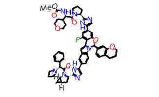 COC(=O)N[C@H](C(=O)N1CCC[C@H]1c1ncc(-c2cc(F)c3c(c2)OC(c2ccc4c(c2)OCCC4)n2c-3cc3cc(-c4cnc([C@@H]5C[C@H]6C[C@H]6N5C(=O)[C@@H](c5ccccc5)N5CCC5)[nH]4)ccc32)[nH]1)C1CCOCC1